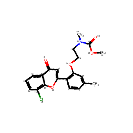 Cc1ccc(-c2cc(=O)c3cccc(Cl)c3o2)c(OCCN(C)C(=O)OC(C)(C)C)c1